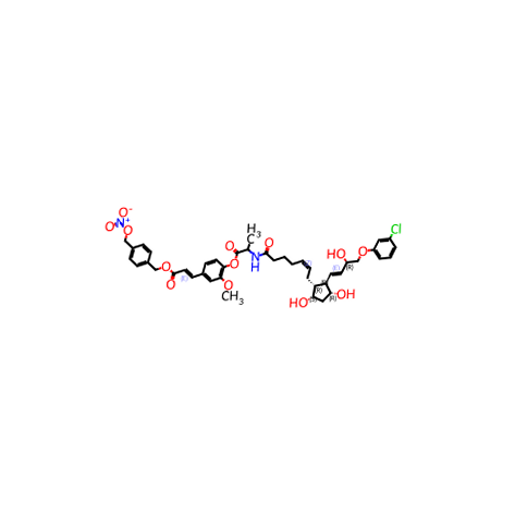 COc1cc(/C=C/C(=O)OCc2ccc(CO[N+](=O)[O-])cc2)ccc1OC(=O)C(C)NC(=O)CCC/C=C\C[C@@H]1[C@@H](/C=C/[C@@H](O)COc2cccc(Cl)c2)[C@H](O)C[C@@H]1O